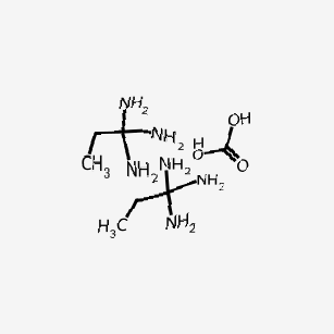 CCC(N)(N)N.CCC(N)(N)N.O=C(O)O